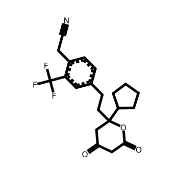 N#CCc1ccc(CCC2(C3CCCC3)CC(=O)CC(=O)O2)cc1C(F)(F)F